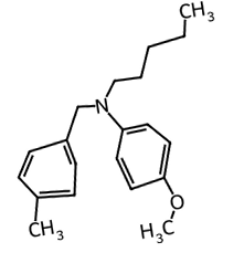 CCCCCN(Cc1ccc(C)cc1)c1ccc(OC)cc1